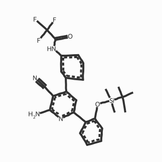 CC(C)(C)[Si](C)(C)Oc1ccccc1-c1cc(-c2cccc(NC(=O)C(F)(F)F)c2)c(C#N)c(N)n1